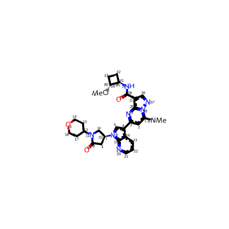 CNc1cc(-c2cn([C@H]3CC(=O)N(C4CCOCC4)C3)c3ncccc23)nc2c(C(=O)N[C@@H]3CC[C@H]3OC)cnn12